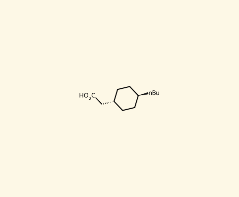 CCCC[C@H]1CC[C@H](CC(=O)O)CC1